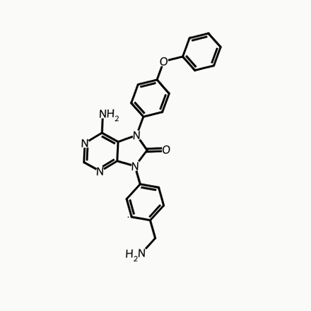 NCc1[c]cc(-n2c(=O)n(-c3ccc(Oc4ccccc4)cc3)c3c(N)ncnc32)cc1